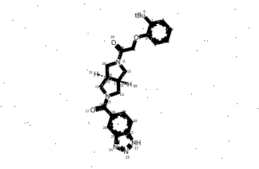 CC(C)(C)c1ccccc1OCC(=O)N1C[C@@H]2CN(C(=O)c3ccc4[nH]nnc4c3)C[C@H]2C1